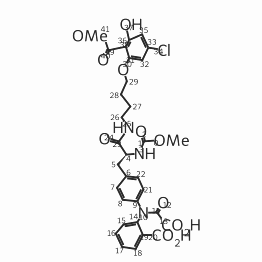 COC(=O)N[C@@H](Cc1ccc(N(C(=O)C(=O)O)c2ccccc2C(=O)O)cc1)C(=O)NCCCCOc1cc(Cl)cc(O)c1C(=O)OC